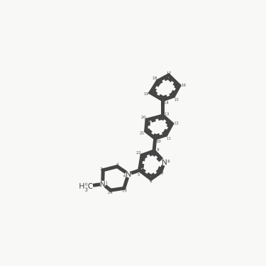 CN1CCN(c2ccnc(-c3ccc(-c4ccccc4)cc3)c2)CC1